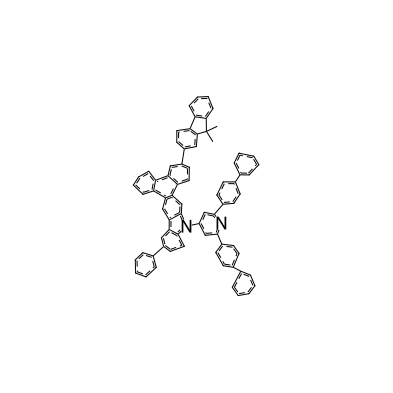 CC1(C)c2ccccc2-c2ccc(-c3ccc4c(c3)c3ccccc3c3cc5c6cc(-c7ccccc7)ccc6n(-c6cc(-c7ccc(-c8ccccc8)cc7)nc(-c7ccc(-c8ccccc8)cc7)c6)c5cc43)cc21